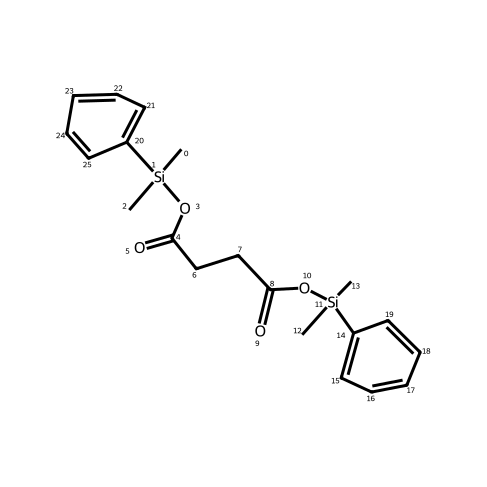 C[Si](C)(OC(=O)CCC(=O)O[Si](C)(C)c1ccccc1)c1ccccc1